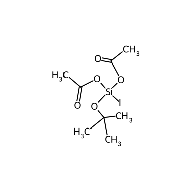 CC(=O)O[Si](I)(OC(C)=O)OC(C)(C)C